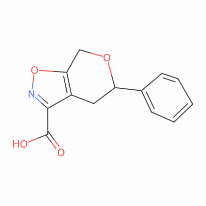 O=C(O)c1noc2c1CC(c1ccccc1)OC2